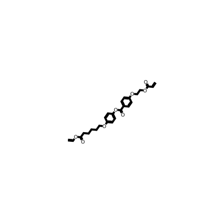 C=COC(=O)CCCCCOc1ccc(OC(=O)c2ccc(OCCOC(=O)C=C)cc2)cc1